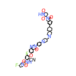 N#Cc1c(NS(=O)(=O)N2CC[C@@H](F)C2)ccc(F)c1Oc1ccc2ncn(-c3ccc(N4CCC(CN5CCC6(CCC(c7ccc8c(c7)CN([C@H]7CCC(=O)NC7=O)C8=O)CC6)CC5)CC4)cc3)c(=O)c2c1